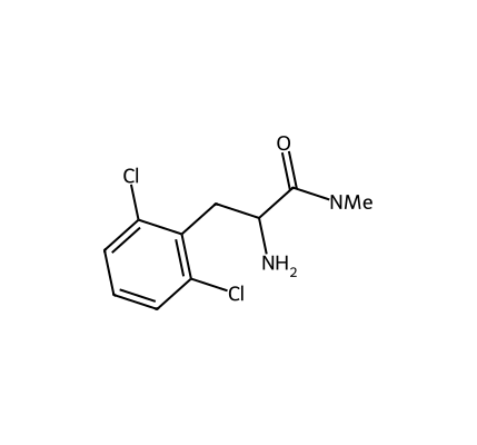 CNC(=O)C(N)Cc1c(Cl)cccc1Cl